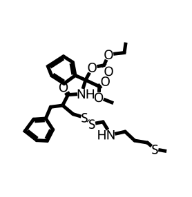 CCOC(=O)OC(NC(=O)C(CSSCNCCCSC)Cc1ccccc1)(C(=O)OC)c1ccccc1